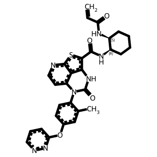 C=CC(=O)N[C@H]1CCCC[C@H]1NC(=O)c1sc2nccc3c2c1NC(=O)N3c1ccc(Oc2cccnn2)cc1C